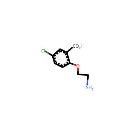 NCCOc1ccc(Cl)cc1C(=O)O